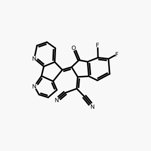 N#CC(C#N)=C1C(=C2c3cccnc3-c3ncccc32)C(=O)c2c1ccc(F)c2F